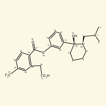 CN(C)C[C@H]1CCCC[C@]1(O)c1cccc(OC(=O)c2ccc(C(F)(F)F)cc2CC(=O)O)c1